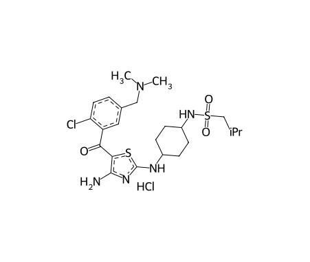 CC(C)CS(=O)(=O)NC1CCC(Nc2nc(N)c(C(=O)c3cc(CN(C)C)ccc3Cl)s2)CC1.Cl